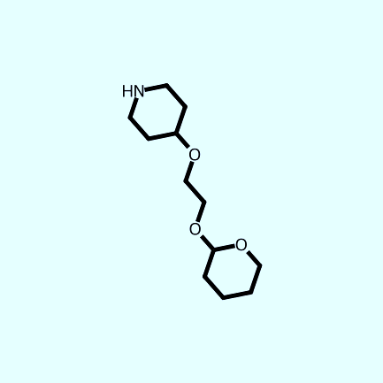 C1CCC(OCCOC2CCNCC2)OC1